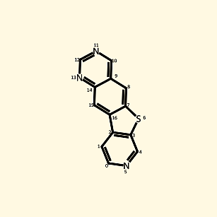 c1cc2c(cn1)sc1cc3cncnc3cc12